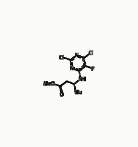 COC(=O)CC(Nc1nc(Cl)nc(Cl)c1F)C(C)(C)C